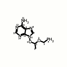 CC(OCP)On1cnc2c(N)ncnc21